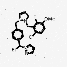 CCC(c1ccc(CN2C=CCN2Cc2c(Cl)ccc(OC)c2F)cc1)n1cccn1